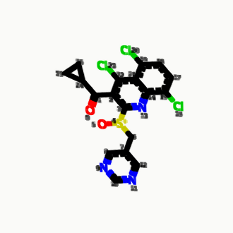 O=C(c1c([S+]([O-])Cc2cncnc2)nc2c(Cl)ccc(Cl)c2c1Cl)C1CC1